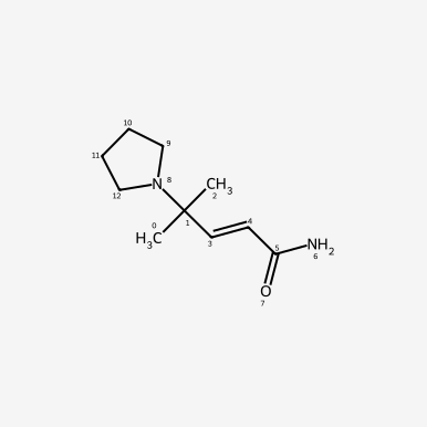 CC(C)(/C=C/C(N)=O)N1CCCC1